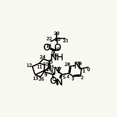 Cc1ccc(-c2noc(C34CC5CC(CC(NC(=O)OC(C)(C)C)(C5)C3)C4)n2)cn1